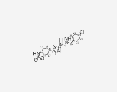 N[C@@H](CNc1ncc(-c2ccc3[nH]c(=O)oc3c2)s1)Cc1ccc(Cl)cc1